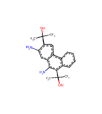 Nc1cc2c(N)c(C(O)(C(F)(F)F)C(F)(F)F)c3ccccc3c2cc1C(O)(C(F)(F)F)C(F)(F)F